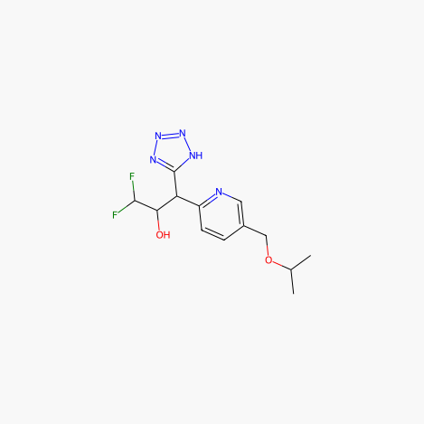 CC(C)OCc1ccc(C(c2nnn[nH]2)C(O)C(F)F)nc1